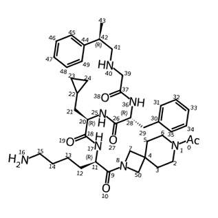 CC(=O)N1CCC2(CC1)CN(C(=O)[C@@H](CCCCN)NC(=O)[C@@H](CC1CC1)NC(=O)[C@@H](Cc1ccccc1)NC(=O)CNC[C@H](C)c1ccccc1)C2